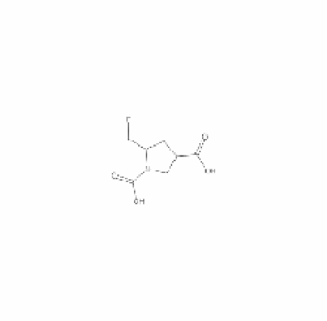 O=C(O)C1CC(CF)N(C(=O)O)C1